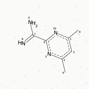 Cc1cc(C)nc(C(=N)N)n1